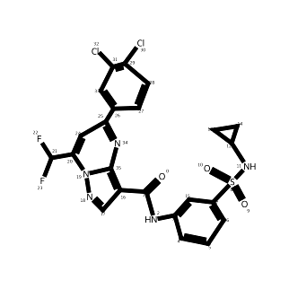 O=C(Nc1cccc(S(=O)(=O)NC2CC2)c1)c1cnn2c(C(F)F)cc(-c3ccc(Cl)c(Cl)c3)nc12